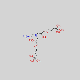 NCCN(CC(O)COCCC[Si](O)(O)O)CC(O)COCCC[Si](O)(O)O